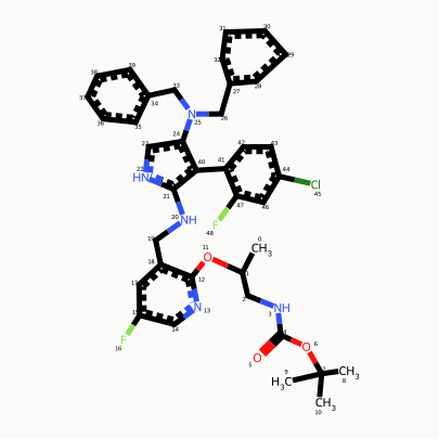 CC(CNC(=O)OC(C)(C)C)Oc1ncc(F)cc1CNc1[nH]cc(N(Cc2ccccc2)Cc2ccccc2)c1-c1ccc(Cl)cc1F